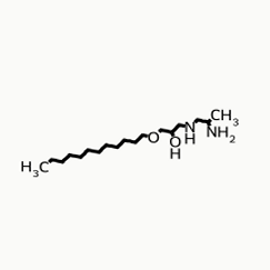 CCCCCCCCCCCCOCC(O)CNCC(C)N